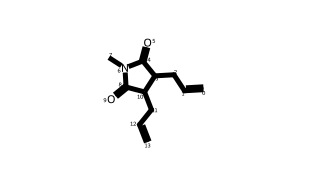 C=CCC1C(=O)N(C)C(=O)C1CC=C